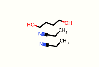 CCC#N.CCC#N.OCCCCO